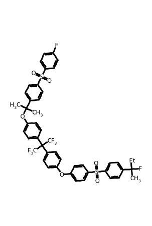 CCC(C)(F)c1ccc(S(=O)(=O)c2ccc(Oc3ccc(C(c4ccc(OC(C)(C)c5ccc(S(=O)(=O)c6ccc(F)cc6)cc5)cc4)(C(F)(F)F)C(F)(F)F)cc3)cc2)cc1